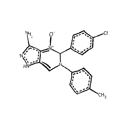 Cc1ccc(N2C=c3[nH]nc(N)c3=[N+]([O-])C2c2ccc(Cl)cc2)cc1